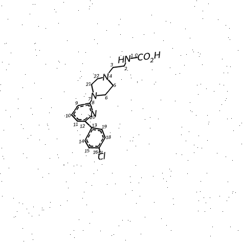 O=C(O)NCCN1CCN(c2cccc(-c3ccc(Cl)cc3)n2)CC1